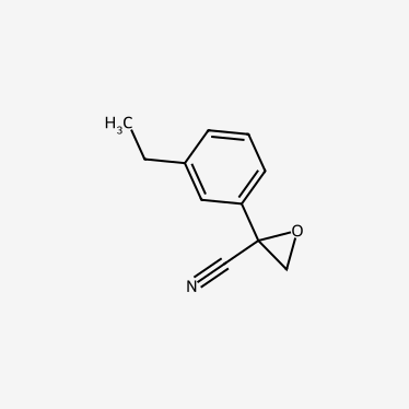 CCc1cccc(C2(C#N)CO2)c1